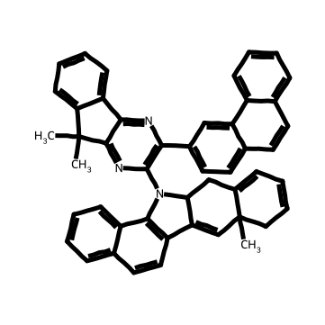 CC12C=C3c4ccc5ccccc5c4N(c4nc5c(nc4-c4ccc6ccc7ccccc7c6c4)-c4ccccc4C5(C)C)C3CC1=CC=CC2